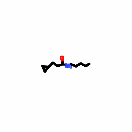 CCCCCNC(=O)CCC1CC1